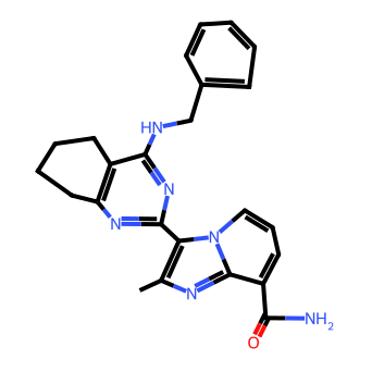 Cc1nc2c(C(N)=O)cccn2c1-c1nc2c(c(NCc3ccccc3)n1)CCCC2